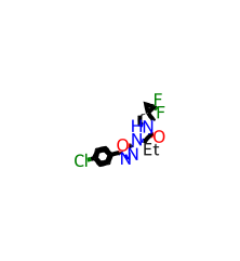 CC[C@H](Nc1nnc(-c2ccc(Cl)cc2)o1)C(=O)N1CC[C@]2(C1)CC2(F)F